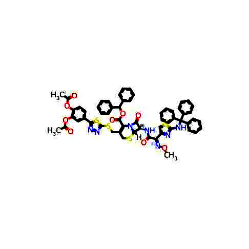 CO/N=C(/C(=O)N[C@@H]1C(=O)N2C(C(=O)OC(c3ccccc3)c3ccccc3)=C(CSc3nnc(-c4ccc(OC(C)=O)c(OC(C)=O)c4)s3)CS[C@H]12)c1csc(NC(c2ccccc2)(c2ccccc2)c2ccccc2)n1